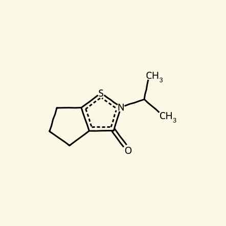 CC(C)n1sc2c(c1=O)CCC2